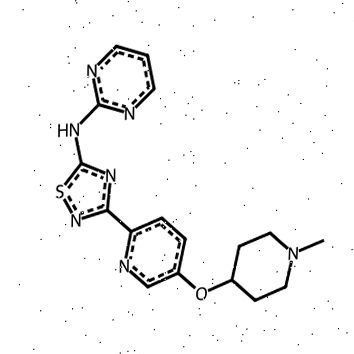 CN1CCC(Oc2ccc(-c3nsc(Nc4ncccn4)n3)nc2)CC1